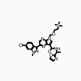 CC(NC(=O)c1cn(COCC[Si](C)(C)C)c2ncc(-c3nn(C)c4cc(Cl)ccc34)nc12)c1ncco1